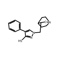 Sc1nn(CC2CN3CCC2CC3)cc1-c1ccccc1